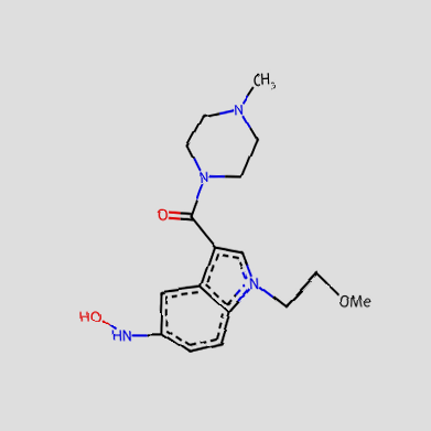 COCCn1cc(C(=O)N2CCN(C)CC2)c2cc(NO)ccc21